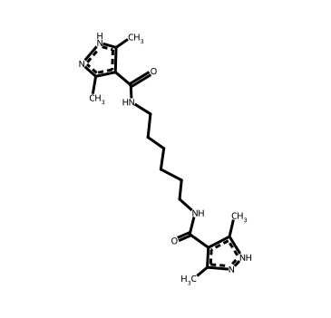 Cc1n[nH]c(C)c1C(=O)NCCCCCCNC(=O)c1c(C)n[nH]c1C